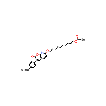 CCCCCc1ccc(-c2cc3ccc(OCCCCCCCCCCOC(=O)C(C)CC)nc3oc2=O)cc1